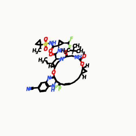 CC[C@@H]1[C@@H]2CN(C(=O)[C@H](C(C)(C)C)NC(=O)O[C@@H]3C[C@H]3CCC=CC(F)(F)C3Nc4ccc(C#N)cc4N=C3O2)[C@@H]1C(=O)N[C@]1(C(=O)NS(=O)(=O)C2(C)CC2)C[C@H]1C(F)F